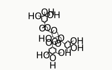 Cc1cc(C(=O)OC2COC(COC(=O)c3cc(O)c(O)c(O)c3)C(O)C2OC(=O)c2cc(O)c(O)c(CO)c2)cc(O)c1O